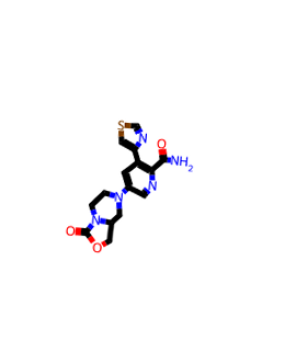 NC(=O)c1ncc(N2CCN3C(=O)OCC3C2)cc1-c1cscn1